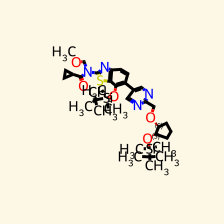 COCN(C(=O)C1CC1)c1nc2ccc(-c3cnc(CO[C@H]4CCC[C@@H]4O[Si](C)(C)C(C)(C)C)nc3)c(O[Si](C)(C)C(C)(C)C)c2s1